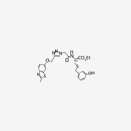 CCOC(=O)[C@@H](CSCc1cccc(O)c1)NC(=O)Cn1cc(COc2ccc3nc(C)sc3c2)nn1